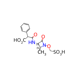 C[C@H]1[C@H](NC(=O)C(C(=O)O)c2ccccc2)C(=O)N1OCS(=O)(=O)O